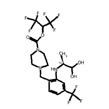 C[C@H](Nc1cc(C(F)(F)F)ccc1CN1CCN(C(=O)OC(C(F)(F)F)C(F)(F)F)CC1)C(O)O